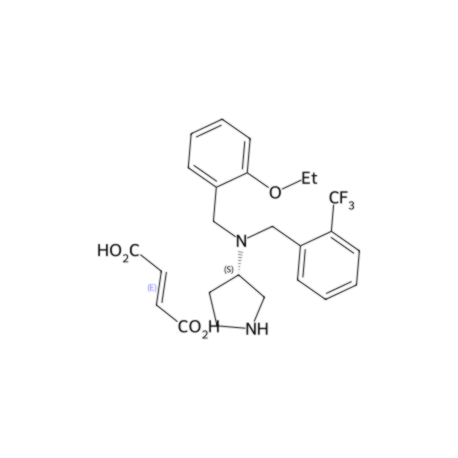 CCOc1ccccc1CN(Cc1ccccc1C(F)(F)F)[C@H]1CCNC1.O=C(O)/C=C/C(=O)O